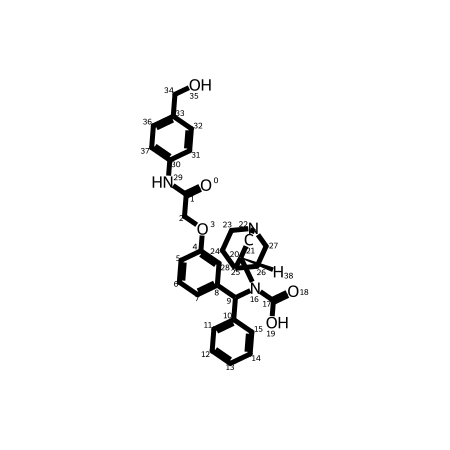 O=C(COc1cccc(C(c2ccccc2)N(C(=O)O)[C@H]2CN3CCC2CC3)c1)Nc1ccc(CO)cc1